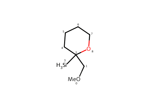 COCC1([SiH3])CCCCO1